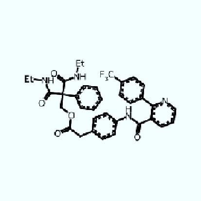 CCNC(=O)C(COC(=O)Cc1ccc(NC(=O)c2cccnc2-c2ccc(C(F)(F)F)cc2)cc1)(C(=O)NCC)c1ccccc1